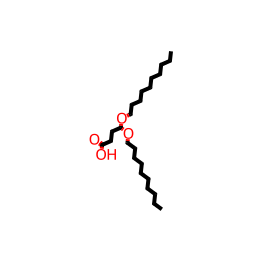 CCCCCCCCCCOC(CCC(=O)O)OCCCCCCCCCC